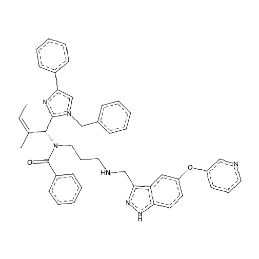 C/C=C(/C)[C@H](c1nc(-c2ccccc2)cn1Cc1ccccc1)N(CCCNCc1n[nH]c2ccc(Oc3cccnc3)cc12)C(=O)c1ccccc1